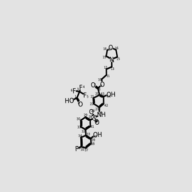 O=C(O)C(F)(F)F.O=C(OCCCCN1CCOCC1)c1ccc(NS(=O)(=O)c2cccc(-c3cc(F)ccc3O)c2)cc1O